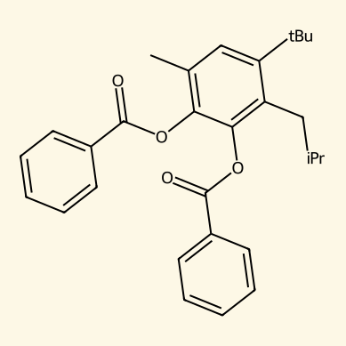 Cc1cc(C(C)(C)C)c(CC(C)C)c(OC(=O)c2ccccc2)c1OC(=O)c1ccccc1